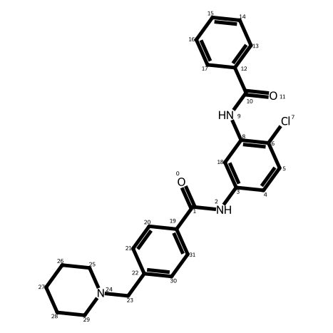 O=C(Nc1ccc(Cl)c(NC(=O)c2ccccc2)c1)c1ccc(CN2CCCCC2)cc1